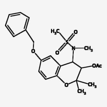 CC(=O)OC1C(N(C)S(C)(=O)=O)c2cc(OCc3ccccc3)ccc2OC1(C)C